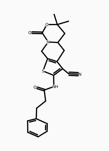 CC1(C)CC2Cc3c(sc(NC(=O)CCc4ccccc4)c3C#N)CN2C(=O)O1